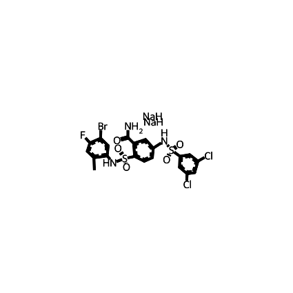 Cc1cc(F)c(Br)cc1NS(=O)(=O)c1ccc(NS(=O)(=O)c2cc(Cl)cc(Cl)c2)cc1C(N)=O.[NaH].[NaH]